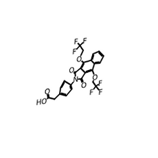 O=C(O)Cc1ccc(N2C(=O)c3c(c(OCC(F)(F)F)c4ccccc4c3OCC(F)(F)F)C2=O)cc1